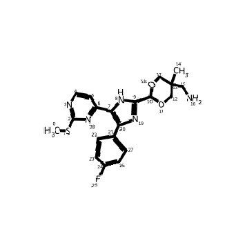 CSc1nccc(-c2[nH]c(C3OCC(C)(CN)CO3)nc2-c2ccc(F)cc2)n1